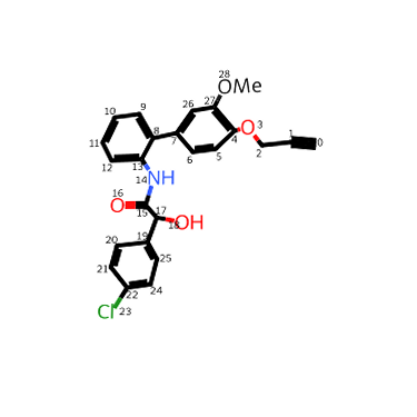 C#CCOc1ccc(-c2ccccc2NC(=O)C(O)c2ccc(Cl)cc2)cc1OC